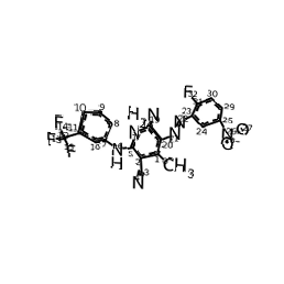 Cc1c(C#N)c(Nc2cccc(C(F)(F)F)c2)nc(N)c1/N=N/c1cc([N+](=O)[O-])ccc1F